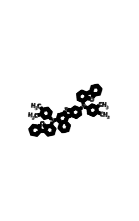 Cc1ccc(N(c2ccc3c(c2)sc2cc(N(c4ccc(C)c(C)c4)c4cccc5c4oc4ccccc45)c4ccccc4c23)c2cccc3c2oc2ccccc23)cc1C